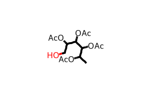 CC(=O)OC(C)C(OC(C)=O)C(OC(C)=O)C(CO)OC(C)=O